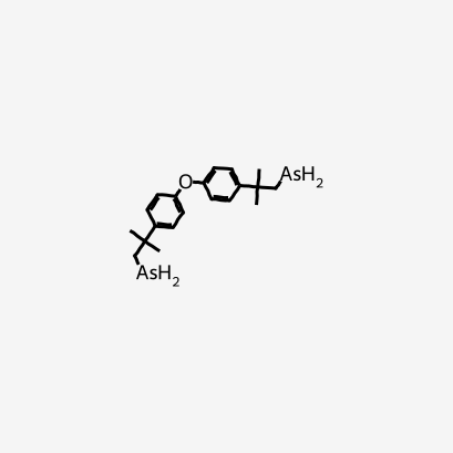 CC(C)(C[AsH2])c1ccc(Oc2ccc(C(C)(C)C[AsH2])cc2)cc1